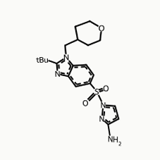 CC(C)(C)c1nc2cc(S(=O)(=O)n3ccc(N)n3)ccc2n1CC1CCOCC1